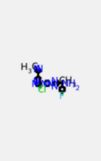 Cn1cc(-c2cc3c(N4CCN(c5ncc(C(C)(N)c6ccc(F)cc6)cn5)CC4)c(Cl)cnn3c2)cn1